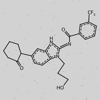 O=C(/N=c1\[nH]c2cc(C3CCCCC3=O)ccc2n1CCCO)c1cccc(C(F)(F)F)c1